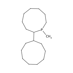 CP1CCCCCCCC1C1CCCCCCCC1